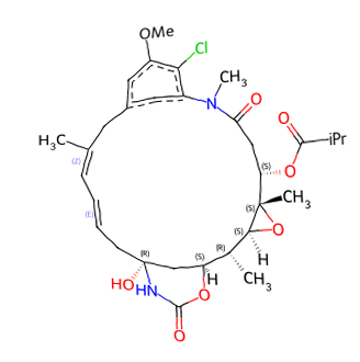 COc1cc2cc(c1Cl)N(C)C(=O)C[C@H](OC(=O)C(C)C)[C@]1(C)O[C@H]1[C@H](C)[C@@H]1C[C@](O)(C/C=C/C=C(/C)C2)NC(=O)O1